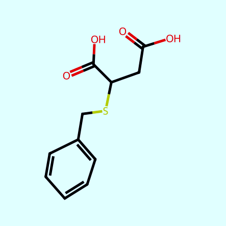 O=C(O)CC(SCc1ccccc1)C(=O)O